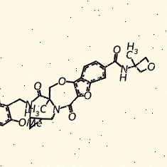 COc1cccc(F)c1CNC(=O)C1(C)COc2c(oc3cc(C(=O)NC4(C)COC4)ccc23)C(=O)N1CC1CC1